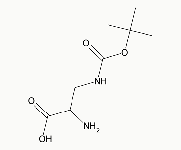 CC(C)(C)OC(=O)NCC(N)C(=O)O